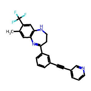 Cc1cc2c(cc1C(F)(F)F)NCCC(c1cccc(C#Cc3cccnc3)c1)=N2